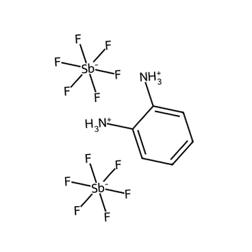 [F][Sb-]([F])([F])([F])([F])[F].[F][Sb-]([F])([F])([F])([F])[F].[NH3+]c1ccccc1[NH3+]